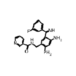 N=C(c1cccc(F)c1)c1cc(CNC(=O)c2cccnc2)c(P)cc1N